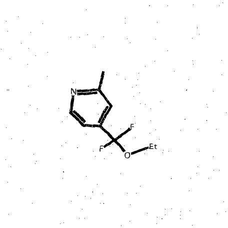 CCOC(F)(F)c1ccnc(C)c1